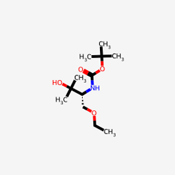 CCOC[C@@H](NC(=O)OC(C)(C)C)C(C)(C)O